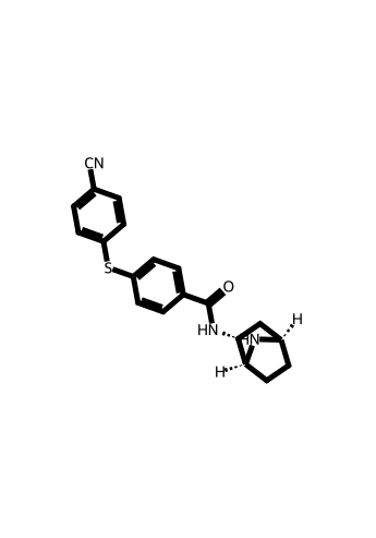 N#Cc1ccc(Sc2ccc(C(=O)N[C@@H]3C[C@H]4CC[C@@H]3N4)cc2)cc1